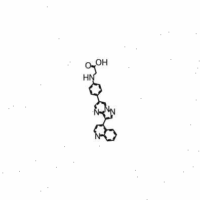 O=C(O)CNc1ccc(-c2cnc3c(-c4ccnc5ccccc45)cnn3c2)cc1